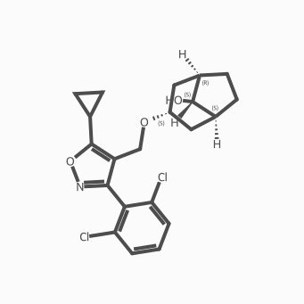 O[C@@H]1[C@@H]2CC[C@H]1C[C@H](OCc1c(-c3c(Cl)cccc3Cl)noc1C1CC1)C2